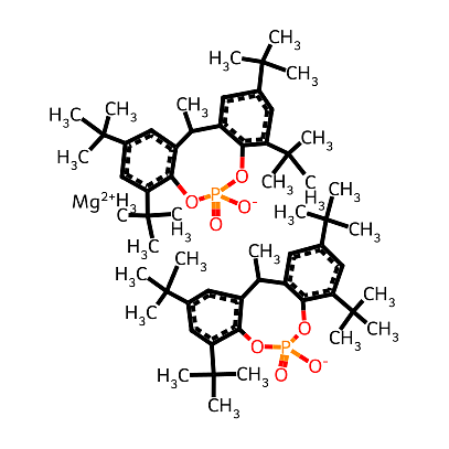 CC1c2cc(C(C)(C)C)cc(C(C)(C)C)c2OP(=O)([O-])Oc2c1cc(C(C)(C)C)cc2C(C)(C)C.CC1c2cc(C(C)(C)C)cc(C(C)(C)C)c2OP(=O)([O-])Oc2c1cc(C(C)(C)C)cc2C(C)(C)C.[Mg+2]